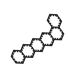 c1ccc2cc3cc4cc5c(ccc6ccccc65)cc4cc3cc2c1